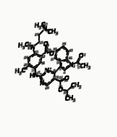 CC(=O)n1cc(-c2nc(Nc3cc([N+](=O)[O-])c(N(C)CCN(C)C)cc3C)ncc2C(=O)OC(C)C)c2ccccc21